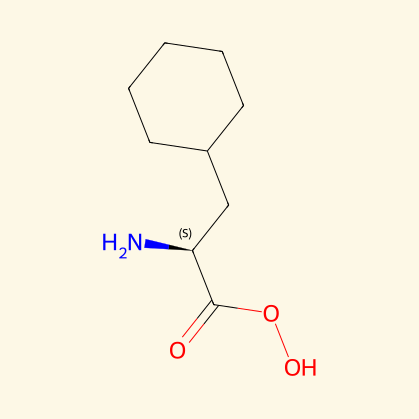 N[C@@H](CC1CCCCC1)C(=O)OO